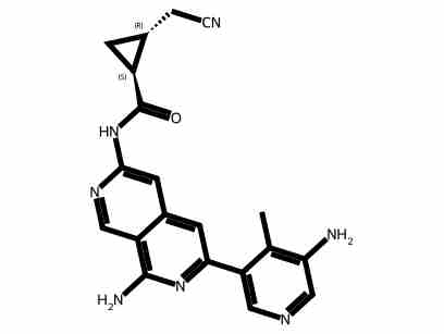 Cc1c(N)cncc1-c1cc2cc(NC(=O)[C@H]3C[C@@H]3CC#N)ncc2c(N)n1